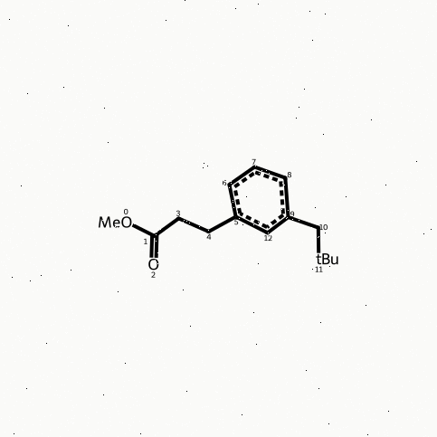 COC(=O)CCc1cccc(CC(C)(C)C)c1